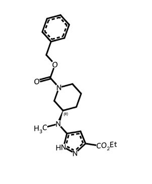 CCOC(=O)c1cc(N(C)[C@@H]2CCCN(C(=O)OCc3ccccc3)C2)[nH]n1